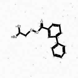 CCCCC([CH]OOC(=O)c1cccc(-c2ccccc2)c1)CC